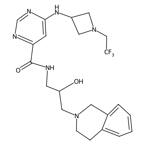 O=C(NCC(O)CN1CCc2ccccc2C1)c1cc(NC2CN(CC(F)(F)F)C2)ncn1